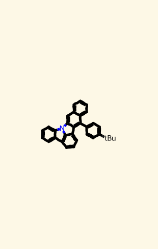 CC(C)(C)c1ccc(-c2c3ccccc3cc3c2c2cccc4c5ccccc5n3c42)cc1